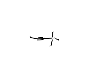 CC#[C][Sn]([CH3])([CH3])[CH3]